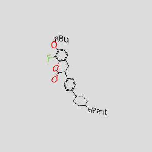 CCCCCC1CCC(c2ccc(C3Cc4ccc(OCCCC)c(F)c4OC3=O)cc2)CC1